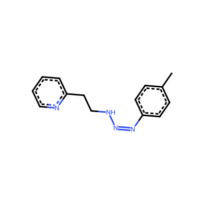 Cc1ccc(/N=N\NCCc2ccccn2)cc1